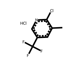 Cc1cc(C(F)(F)F)cnc1Cl.Cl